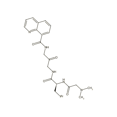 CC(C)C[C@H](NC(=O)CN(C)C)C(=O)NCC(=O)CNC(=O)c1cccc2cccnc12